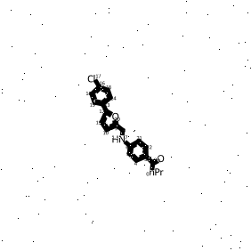 CCCC(=O)c1ccc(NCc2ccc(-c3ccc(Cl)cc3)o2)cc1